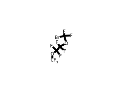 FC(F)(F)OC(F)(F)C(F)(F)OC(F)(F)Br